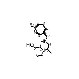 CCN(CCO)C(C)CNCC1=CCC=C(C)N=C1